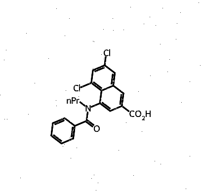 CCCN(C(=O)c1ccccc1)c1cc(C(=O)O)cc2cc(Cl)cc(Cl)c12